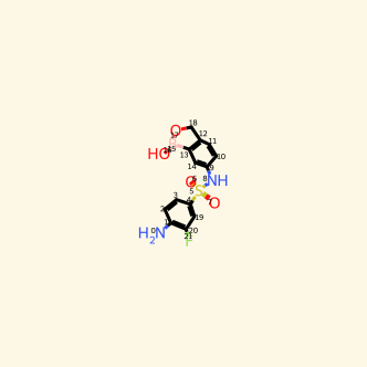 Nc1ccc(S(=O)(=O)Nc2ccc3c(c2)B(O)OC3)cc1F